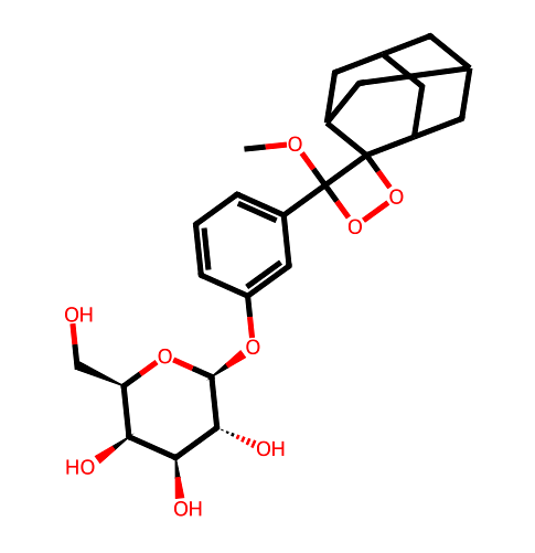 COC1(c2cccc(O[C@@H]3O[C@H](CO)[C@H](O)[C@H](O)[C@H]3O)c2)OOC12C1CC3CC(C1)CC2C3